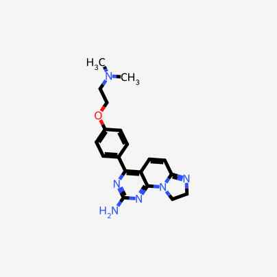 CN(C)CCOc1ccc(-c2nc(N)nc3c2C=CC2=NCCN23)cc1